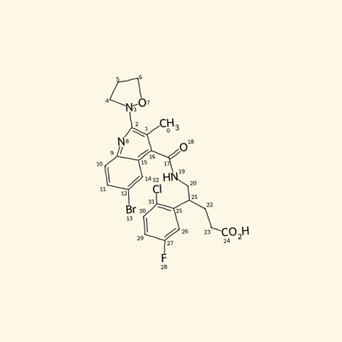 Cc1c(N2CCCO2)nc2ccc(Br)cc2c1C(=O)NCC(CCC(=O)O)c1cc(F)ccc1Cl